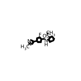 Cn1cc(-c2ccc(CNc3ccccc3[S+](C)[O-])c(F)c2)cn1